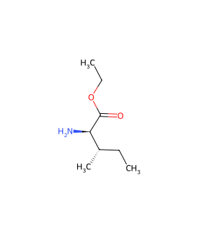 CCOC(=O)[C@H](N)[C@@H](C)CC